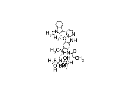 BC(B)(O)N(CCN(C)c1cc(OC)c(Nc2nccc(-c3cn(C)c4ccccc34)n2)cc1NC(=O)C=C)C(O)(O)O